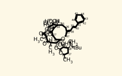 CC[C@H]1OC(=O)[C@H](C)C(=O)[C@H](C)[C@@H](O[C@@H]2O[C@H](C)C[C@H](N(C)C(C)(C)C)[C@H]2O)[C@@]2(C)C[C@@H](C)/C(=N\C(C)=O)[C@H](C)[C@@H](CC/C(=C\C=C\c3ccccc3)CO2)[C@]1(C)O